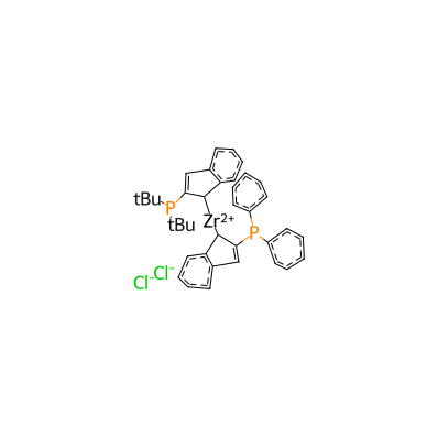 CC(C)(C)P(C1=Cc2ccccc2[CH]1[Zr+2][CH]1C(P(c2ccccc2)c2ccccc2)=Cc2ccccc21)C(C)(C)C.[Cl-].[Cl-]